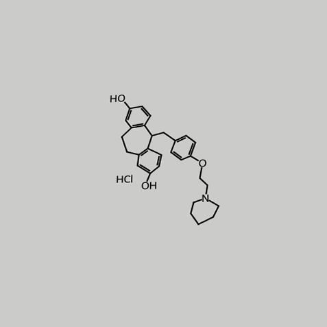 Cl.Oc1ccc2c(c1)CCc1cc(O)ccc1C2Cc1ccc(OCCN2CCCCC2)cc1